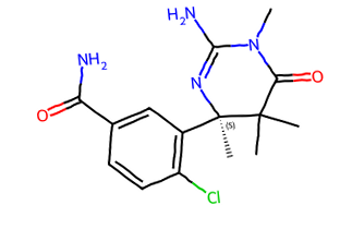 CN1C(=O)C(C)(C)[C@@](C)(c2cc(C(N)=O)ccc2Cl)N=C1N